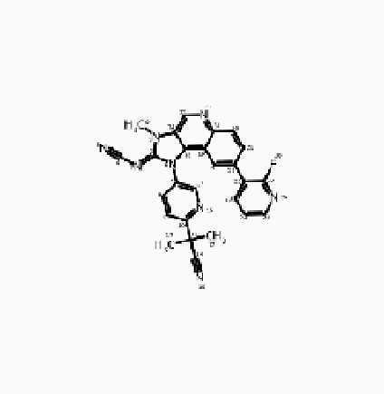 Cn1c(=NC#N)n(-c2ccc(C(C)(C)C#N)nc2)c2c3cc(-c4cccnc4F)ccc3ncc21